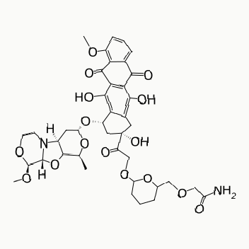 COc1cccc2c1C(=O)c1c(O)c3c(c(O)c1C2=O)C[C@@](O)(C(=O)COC1CCCC(COCC(N)=O)O1)C[C@@H]3O[C@H]1C[C@H]2C(O[C@@H]3[C@@H](OC)OCCN32)[C@H](C)O1